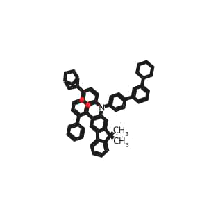 CC1(C)c2ccccc2-c2cc(-c3ccccc3-c3ccccc3)c(N(c3ccc(-c4cccc(C5CCCCC5)c4)cc3)c3ccc(C4CC5CCC4C5)cc3)cc21